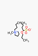 CCCC[N+]1(C)CCCC1.CCCOC(CCC)S(=O)(=O)[O-]